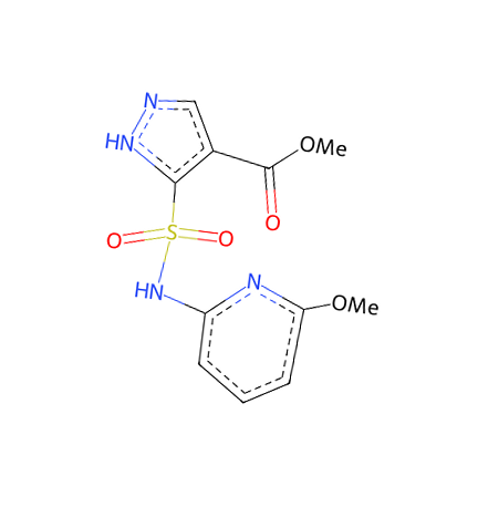 COC(=O)c1cn[nH]c1S(=O)(=O)Nc1cccc(OC)n1